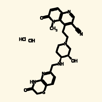 Cl.Cl.Cn1c(=O)ccc2ncc(C#N)c(CCN3CC[C@H](NCc4ccc5c(n4)NC(=O)CS5)[C@H](O)C3)c21